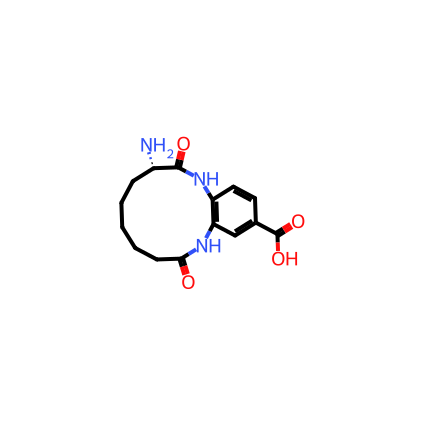 N[C@H]1CCCCCC(=O)Nc2cc(C(=O)O)ccc2NC1=O